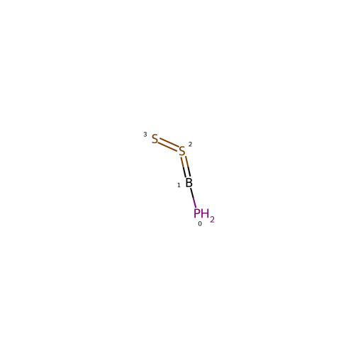 PB=S=S